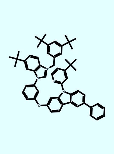 CC(C)(C)c1cc(C[n+]2cn(-c3cccc(Oc4ccc5c6cc(-c7ccccc7)ccc6n(-c6cc(C(C)(C)C)ccn6)c5c4)c3)c3cc(C(C)(C)C)ccc32)cc(C(C)(C)C)c1